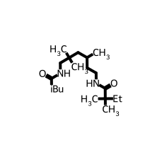 CCC(C)C(=O)NCC(C)(C)CC(C)CCNC(=O)C(C)(C)CC